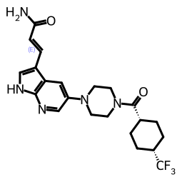 NC(=O)/C=C/c1c[nH]c2ncc(N3CCN(C(=O)[C@H]4CC[C@@H](C(F)(F)F)CC4)CC3)cc12